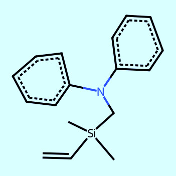 C=C[Si](C)(C)CN(c1ccccc1)c1ccccc1